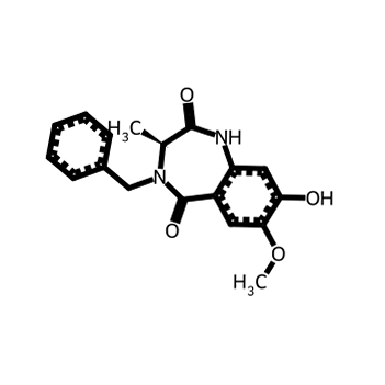 COc1cc2c(cc1O)NC(=O)[C@H](C)N(Cc1ccccc1)C2=O